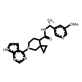 COc1cncc([C@@H](C)NC(=O)C2CCN(c3ncnc4[nH]ccc34)CC23CC3)c1